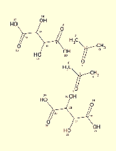 CC(C)=O.CC(C)=O.O=C(O)C(O)C(O)C(=O)O.O=C(O)C(O)C(O)C(=O)O